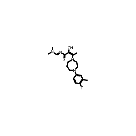 CC(=C(C#N)C(=S)N=CN(C)C)N1CCCN(c2ccc(F)c(C)c2)CC1